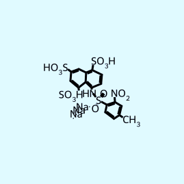 Cc1ccc(S(=O)(=O)Nc2ccc(S(=O)(=O)O)c3cc(S(=O)(=O)O)cc(S(=O)(=O)O)c23)c([N+](=O)[O-])c1.[Na].[Na].[Na]